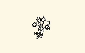 CC1CCC(Cn2c(N3CCOC[C@H]3c3ccccc3)nc3nc(-c4noc(=O)[nH]4)nc(-c4cncc(Cl)c4)c32)CC1